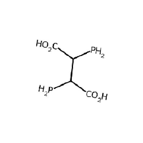 O=C(O)C(P)C(P)C(=O)O